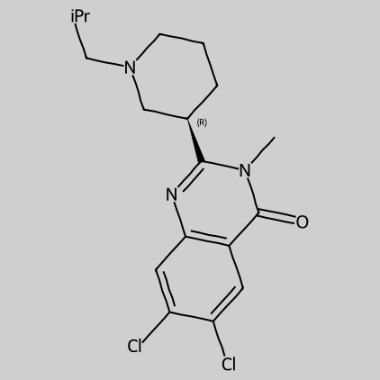 CC(C)CN1CCC[C@@H](c2nc3cc(Cl)c(Cl)cc3c(=O)n2C)C1